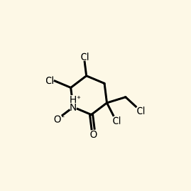 O=C1[NH+]([O-])C(Cl)C(Cl)CC1(Cl)CCl